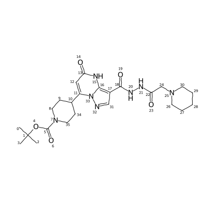 CC(C)(C)OC(=O)N1CCC(c2cc(=O)[nH]c3c(C(=O)NNC(=O)CN4CCCCC4)cnn23)CC1